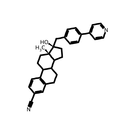 C[C@]12CCC3c4ccc(C#N)cc4CCC3C1CC[C@@]2(O)Cc1ccc(-c2ccncc2)cc1